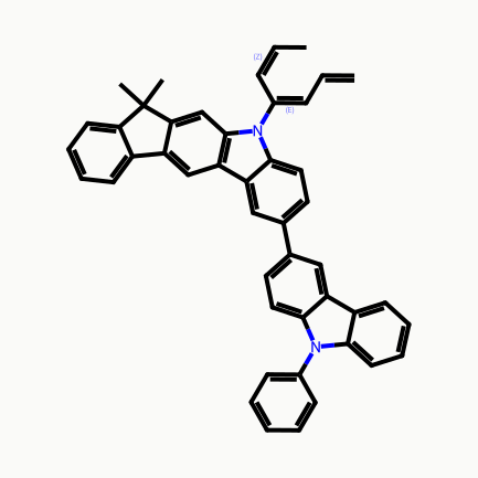 C=C/C=C(\C=C/C)n1c2ccc(-c3ccc4c(c3)c3ccccc3n4-c3ccccc3)cc2c2cc3c(cc21)C(C)(C)c1ccccc1-3